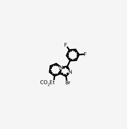 CCOC(=O)c1cccn2c(-c3cc(F)cc(F)c3)nc(Br)c12